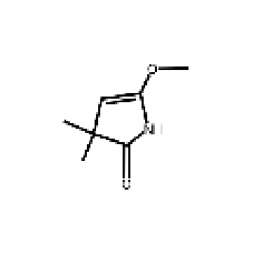 COC1=CC(C)(C)C(=O)N1